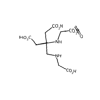 C=O.O=C(O)CNCC(CC(=O)O)(CC(=O)O)NCC(=O)O